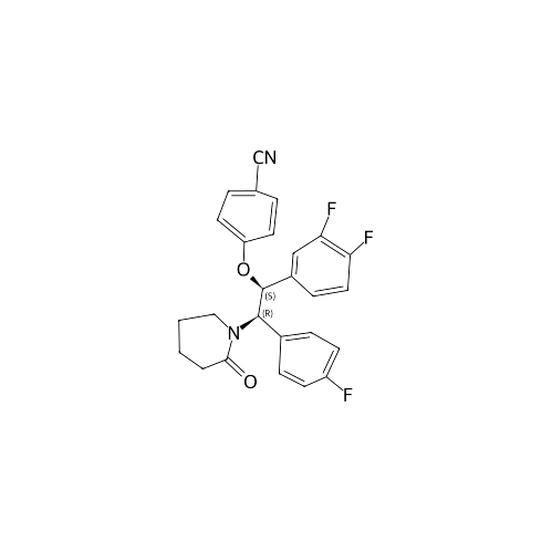 N#Cc1ccc(O[C@@H](c2ccc(F)c(F)c2)[C@@H](c2ccc(F)cc2)N2CCCCC2=O)cc1